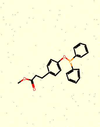 COC(=O)CCc1ccc(OP(c2ccccc2)c2ccccc2)cc1